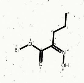 CCCC(=NO)C(=O)OBr